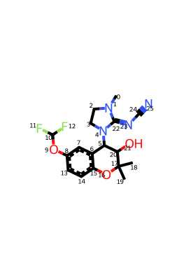 CN1CCN(C2c3cc(OC(F)F)ccc3OC(C)(C)C2O)C1=NC#N